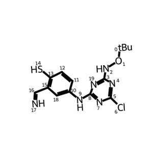 CC(C)(C)ONc1nc(Cl)nc(Nc2ccc(S)c(C=N)c2)n1